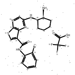 N[C@H]1CCCC[C@H]1Nc1cnc2scc(C(=O)Nc3ccccc3Br)c2n1.O=C(O)C(F)(F)F